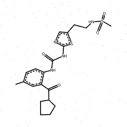 Cc1ccc(NC(=O)Nc2ncc(CCNS(C)(=O)=O)s2)c(C(=O)C2CCCC2)c1